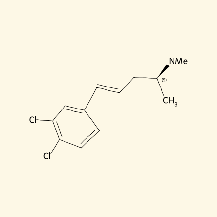 CN[C@@H](C)CC=Cc1ccc(Cl)c(Cl)c1